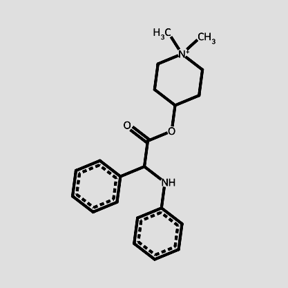 C[N+]1(C)CCC(OC(=O)C(Nc2ccccc2)c2ccccc2)CC1